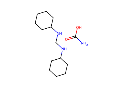 C1CCC(NCNC2CCCCC2)CC1.NC(=O)O